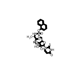 CCCCOC(=O)[C@H](C)NP(=O)(OC[C@H]1O[C@@H](n2ccc(=O)[nH]c2=S)[C@](C)(O)C1O)Oc1cccc2ccccc12